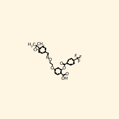 CC(C)(C)c1ccc(/C=N/OCCOc2ccc(C(=O)O)c(OC(=O)c3ccc(C(F)(F)F)cc3)c2)cc1